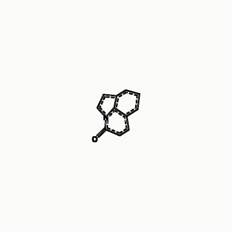 O=c1ccc2cccc3ccn1c23